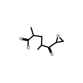 CC(CC(C)C(=O)C1CO1)C(=O)Cl